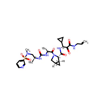 C=CCNC(=O)C(=O)[C@H](NC(=O)[C@@H]1[C@H]2C[C@H]2CN1C(=O)[C@@H](NC(=O)N[C@H](CN(C)S(=O)(=O)c1cccnc1)C(C)(C)C)C(C)(C)C)C1CC1